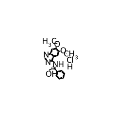 COc1cc2ncnc(N[C@H](CO)c3ccccc3)c2cc1OC.Cl